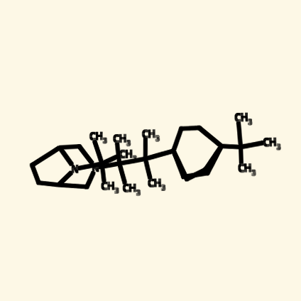 CC(C)(C)N1C2CCC1CN(C(C)(C)C(C)(C)C13CCC(C(C)(C)C)(CC1)CC3)C2